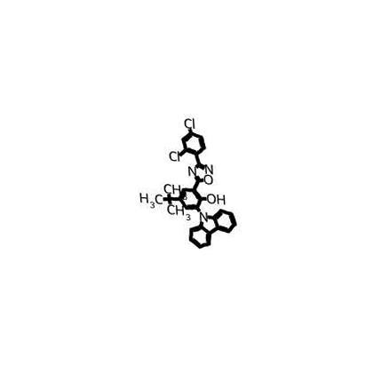 CC(C)(C)c1cc(-c2nc(-c3ccc(Cl)cc3Cl)no2)c(O)c(-n2c3ccccc3c3ccccc32)c1